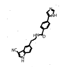 N#Cc1c[nH]c2ccc(CCNC(=O)c3ccc(-c4cnc[nH]4)cc3)cc12